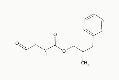 CC(COC(=O)NC[C]=O)Cc1ccccc1